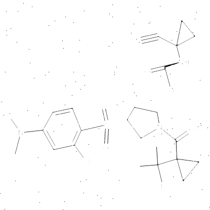 CN(C)c1ccc(S(=O)(=O)[C@@H]2C[C@H](OC(=O)NC3(C#N)CC3)N(C(=O)C3(C(F)(F)F)CC3)C2)c(Cl)c1